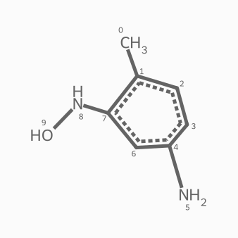 Cc1ccc(N)cc1NO